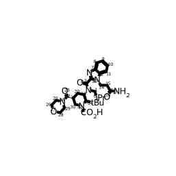 CC(C)CN(C(=O)c1nc2ccccc2n1CCC(N)=O)[C@H]1C[C@@H](C(=O)N2CCOCC2)CN(C(=O)O)C1C(C)(C)C